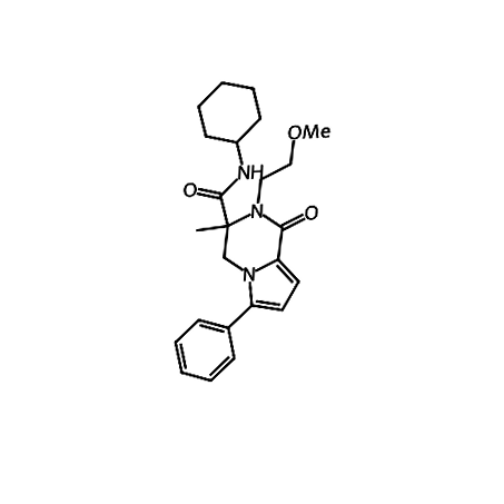 COCCN1C(=O)c2ccc(-c3ccccc3)n2CC1(C)C(=O)NC1CCCCC1